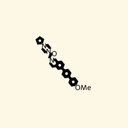 COc1ccc(-c2ccc(-c3ccc4c(c3)CCN(CC(=O)N3CCN(C5CCCC5)CC3)C4)cc2)cc1